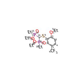 CCOc1ccc(C(F)(F)F)cc1SC(P(=O)(CC)OCC)P(=O)(CC)OCC